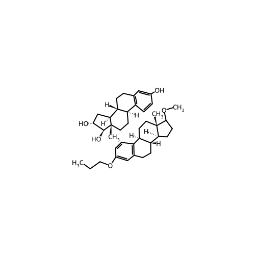 CCCOc1ccc2c(c1)CC[C@@H]1[C@@H]2CC[C@]2(C)C(OC)CC[C@@H]12.C[C@]12CC[C@@H]3c4ccc(O)cc4CC[C@H]3[C@@H]1C[C@@H](O)[C@@H]2O